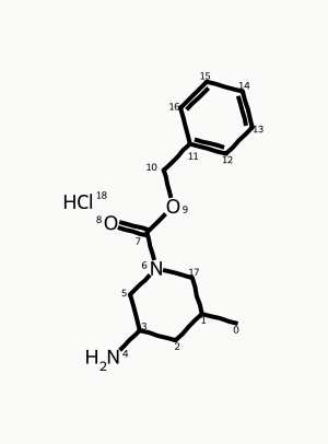 CC1CC(N)CN(C(=O)OCc2ccccc2)C1.Cl